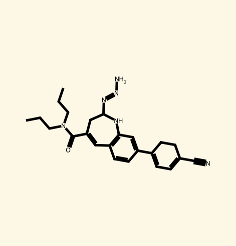 CCCN(CCC)C(=O)C1=Cc2ccc(C3=CC=C(C#N)CC3)cc2NC(N=NN)C1